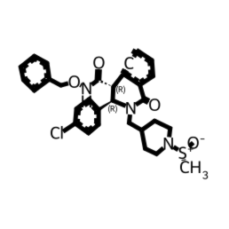 C[S+]([O-])N1CCC(CN2C(=O)c3ccccc3[C@@H](C(=O)NOCc3ccccc3)[C@@H]2c2ccc(Cl)cc2)CC1